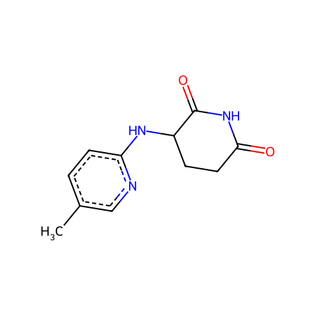 Cc1ccc(NC2CCC(=O)NC2=O)nc1